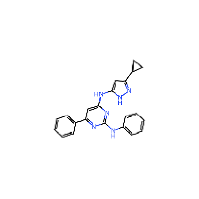 c1ccc(Nc2nc(Nc3cc(C4CC4)n[nH]3)cc(-c3ccccc3)n2)cc1